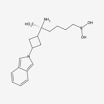 N[C@](CCCCB(O)O)(C(=O)O)C1CC(n2cc3ccccc3c2)C1